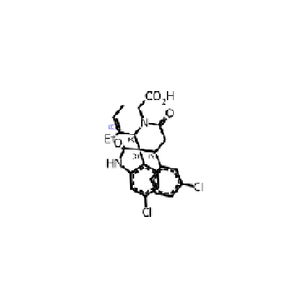 C/C=C(/CC)[C@H]1N(CC(=O)O)C(=O)C[C@@H](c2cccc(Cl)c2)[C@]12C(=O)Nc1cc(Cl)ccc12